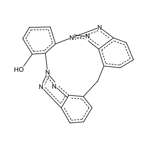 Oc1cccc2c1-n1nc3cccc(c3n1)Cc1cccc3nn-2nc13